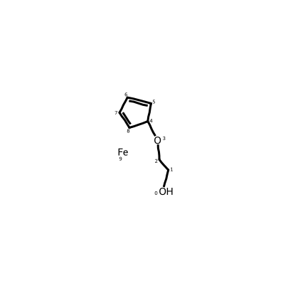 OCCOC1C=CC=C1.[Fe]